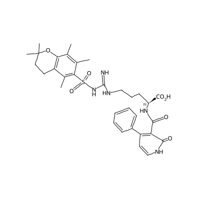 Cc1c(C)c(S(=O)(=O)NC(=N)NCCC[C@H](NC(=O)c2c(-c3ccccc3)cc[nH]c2=O)C(=O)O)c(C)c2c1OC(C)(C)CC2